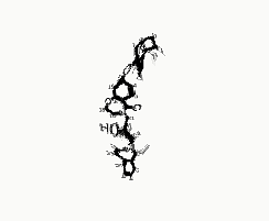 O=C1c2ccc(OC3CC4CCC(C3)N4)cc2OCCN1C[C@H](O)CN1CCc2ccccc2C1